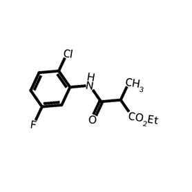 CCOC(=O)C(C)C(=O)Nc1cc(F)ccc1Cl